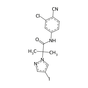 CC(C)(C(=O)Nc1ccc(C#N)c(Cl)c1)n1cc(I)cn1